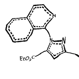 CCOC(=O)c1cc(C)nn1-c1nccc2ccccc12